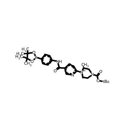 C[C@@H]1CN(C(=O)OC(C)(C)C)CCN1c1ccc(C(=O)Nc2ccc(B3OC(C)(C)C(C)(C)O3)cc2)cn1